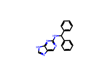 c1ccc(C(Nc2ncc3nc[nH]c3n2)c2ccccc2)cc1